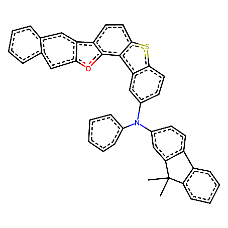 CC1(C)c2ccccc2-c2ccc(N(c3ccccc3)c3ccc4sc5ccc6c7cc8ccccc8cc7oc6c5c4c3)cc21